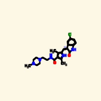 Cc1[nH]c(/C=C2\C(=O)Nc3ccc(Cl)cc32)c(C)c1C(=O)NCCN1CCN(C)CC1